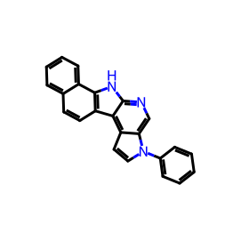 c1ccc(-n2ccc3c4c(ncc32)[nH]c2c3ccccc3ccc24)cc1